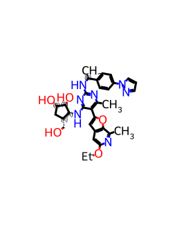 CCOc1cc2cc(-c3c(C)nc(N[C@H](C)c4ccc(-n5cccn5)cc4)nc3N[C@@H]3[C@H](CO)C[C@@H](O)[C@H]3O)oc2c(C)n1